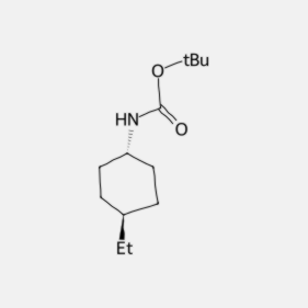 CC[C@H]1CC[C@H](NC(=O)OC(C)(C)C)CC1